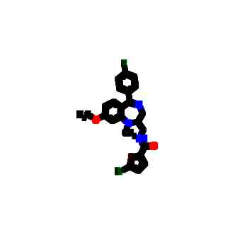 COc1ccc2c(c1)N(C)C(CNC(=O)c1ccc(Br)s1)CN=C2c1ccc(F)cc1